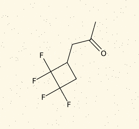 CC(=O)CC1CC(F)(F)C1(F)F